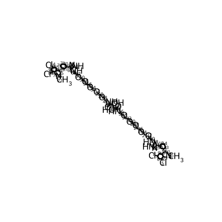 CN1Cc2c(Cl)cc(Cl)cc2[C@H](c2cccc(/C(=C/NCCOCCOCCOCCOCCOCCNC(=O)[C@H](O)[C@@H](O)C(=O)NCCOCCOCCOCCOCCOCCN/C=C(\N=N)c3cccc([C@@H]4CN(C)Cc5c(Cl)cc(Cl)cc54)c3)N=N)c2)C1